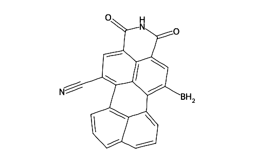 Bc1cc2c3c(cc(C#N)c4c5cccc6cccc(c1c34)c65)C(=O)NC2=O